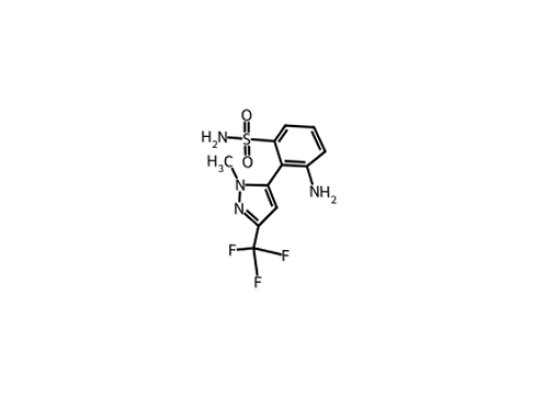 Cn1nc(C(F)(F)F)cc1-c1c(N)cccc1S(N)(=O)=O